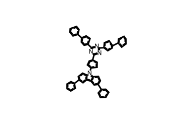 c1ccc(-c2ccc(-c3nc(-c4ccc(-c5ccccc5)cc4)nc(-c4ccc(-n5c6ccc(-c7ccccc7)cc6c6cc(-c7ccccc7)ccc65)cc4)n3)cc2)cc1